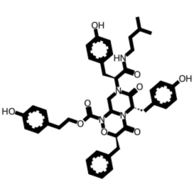 CC(C)CCNC(=O)[C@H](Cc1ccc(O)cc1)N1CC2N(C(=O)OCCc3ccc(O)cc3)O[C@H](Cc3ccccc3)C(=O)N2[C@@H](Cc2ccc(O)cc2)C1=O